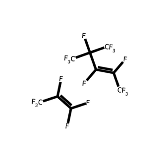 FC(=C(F)C(F)(C(F)(F)F)C(F)(F)F)C(F)(F)F.FC(F)=C(F)C(F)(F)F